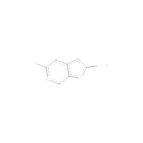 O=C(O)c1cc2cc(F)ncc2[nH]1